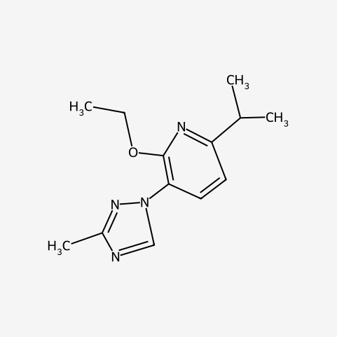 CCOc1nc(C(C)C)ccc1-n1cnc(C)n1